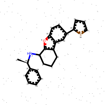 C[C@@H](NC1CCCc2c1oc1ccc(-c3cccs3)cc21)c1ccccc1